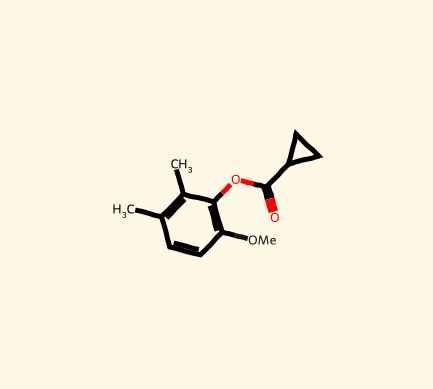 COc1ccc(C)c(C)c1OC(=O)C1CC1